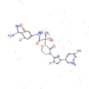 C[C@](O)(C(=O)Nc1cc(Cl)c2c(N)noc2c1)[C@H]1OCCN(c2nn(-c3cnnc(C#N)c3)cc2F)C1=O